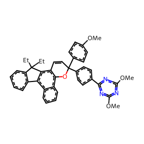 CCC1(CC)c2ccccc2-c2c1c1c(c3ccccc23)OC(c2ccc(OC)cc2)(c2ccc(-c3nc(OC)nc(OC)n3)cc2)C=C1